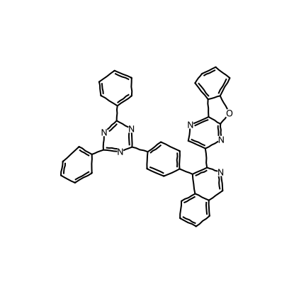 c1ccc(-c2nc(-c3ccccc3)nc(-c3ccc(-c4c(-c5cnc6c(n5)oc5ccccc56)ncc5ccccc45)cc3)n2)cc1